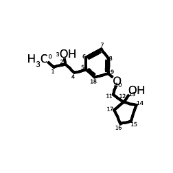 CCC(O)Cc1cccc(OCC2(O)CCCC2)c1